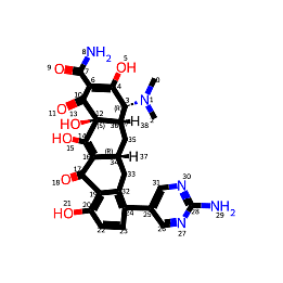 CN(C)[C@H]1C(O)=C(C(N)=O)C(=O)[C@@]2(O)C(O)=C3C(=O)c4c(O)ccc(-c5cnc(N)nc5)c4C[C@H]3C[C@@H]12